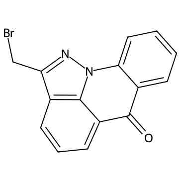 O=c1c2ccccc2n2nc(CBr)c3cccc1c32